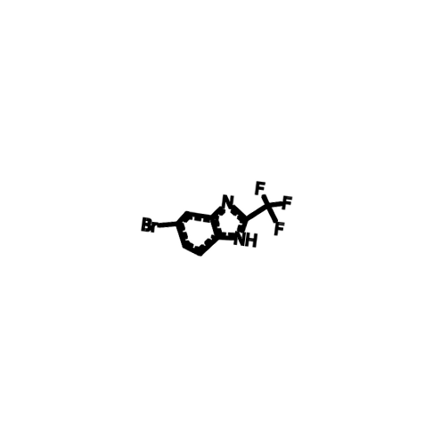 FC(F)(F)c1nc2cc(Br)ccc2[nH]1